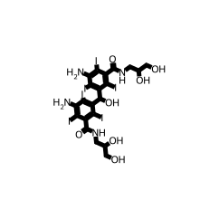 Nc1c(I)c(C(=O)NCC(O)CO)c(I)c(C(O)c2c(I)c(N)c(I)c(C(=O)NCC(O)CO)c2I)c1I